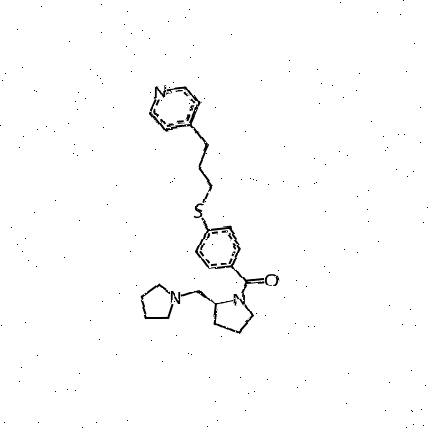 O=C(c1ccc(SCCCc2ccncc2)cc1)N1CCC[C@H]1CN1CCCC1